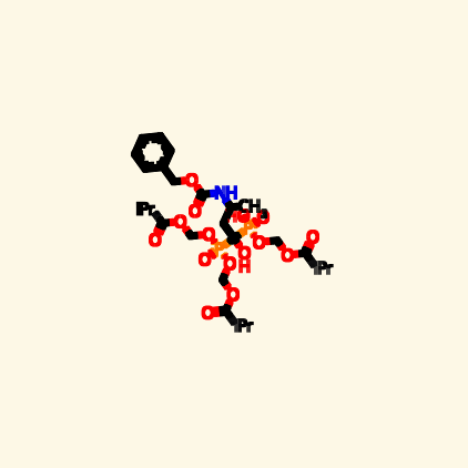 CC(CC(O)(P(=O)(O)OCOC(=O)C(C)C)P(=O)(OCOC(=O)C(C)C)OCOC(=O)C(C)C)NC(=O)OCc1ccccc1